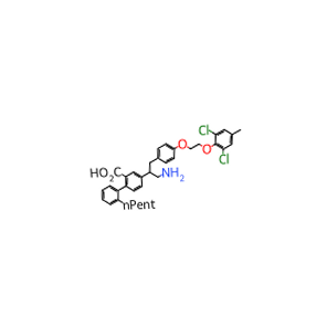 CCCCCc1ccccc1-c1ccc(C(CN)Cc2ccc(OCCOc3c(Cl)cc(C)cc3Cl)cc2)cc1C(=O)O